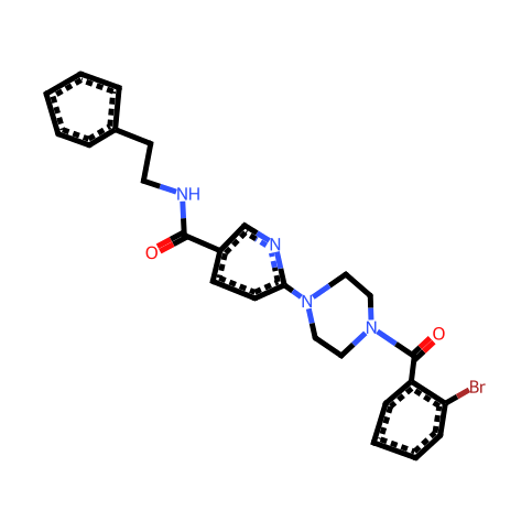 O=C(NCCc1ccccc1)c1ccc(N2CCN(C(=O)c3ccccc3Br)CC2)nc1